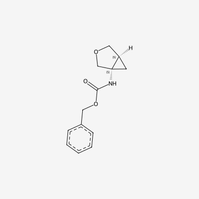 O=C(N[C@]12COC[C@H]1C2)OCc1ccccc1